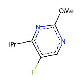 COc1ncc(F)c(C(C)C)n1